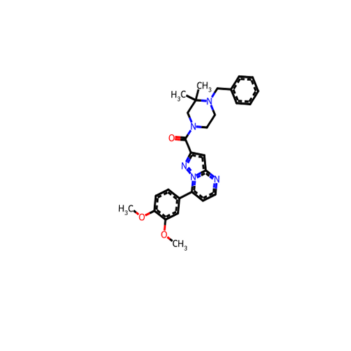 COc1ccc(-c2ccnc3cc(C(=O)N4CCN(Cc5ccccc5)C(C)(C)C4)nn23)cc1OC